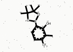 Cc1c(C(F)(F)F)ccc(B2OC(C)(C)C(C)(C)O2)c1O